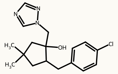 CC1(C)CC(Cc2ccc(Cl)cc2)C(O)(Cn2cncn2)C1